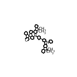 CC1(C)c2ccccc2-c2ccc(N(c3ccc(-c4ccc5c(c4)c4cc6c(cc4n5-c4ccccc4)C(C)(C)c4ccccc4-6)cc3)c3cccc4c3-c3ccccc3C43c4ccccc4-c4ccccc43)cc21